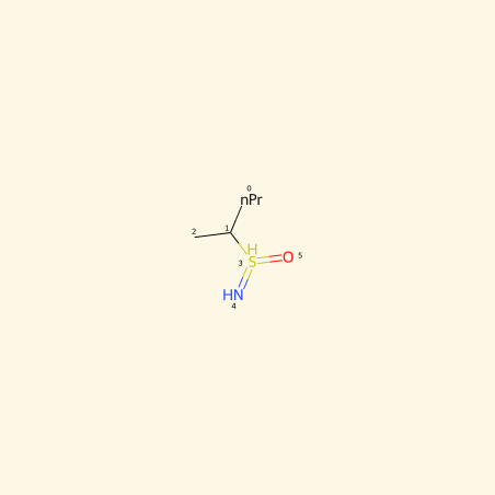 CCCC(C)[SH](=N)=O